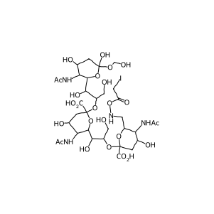 CC(=O)NC1C(O)CC(OC(CO)C(O)C2OC(OC(CO)C(O)C3OC(O)(OCO)CC(O)C3NC(C)=O)(C(=O)O)CC(O)C2NC(C)=O)(C(=O)O)OC1CNOC(=O)CI